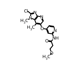 COCCC(=O)Nc1cc(Oc2cnc3nc(Cl)n(C)c3c2C)ccn1